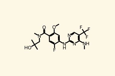 CNc1nc(Nc2cc(OC)c(C(=O)N(C)CC(C)(C)O)cc2F)ncc1C(F)(F)F